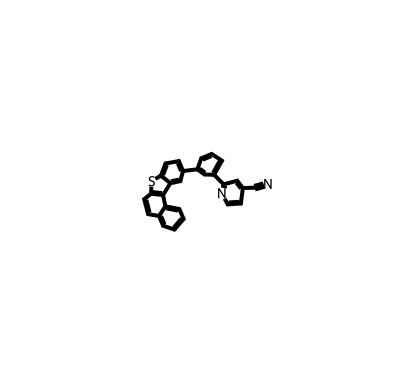 N#Cc1ccnc(-c2cccc(-c3ccc4sc5ccc6ccccc6c5c4c3)c2)c1